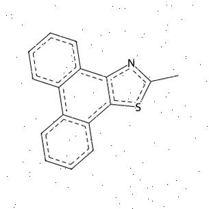 Cc1nc2c3ccccc3c3ccccc3c2s1